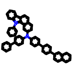 c1ccc(-c2ccc(N(c3ccc(-c4ccc(-c5ccc6ccccc6c5)cc4)cc3)c3ccc4ccc5c6ccccc6n(-c6ccccc6)c5c4c3)cc2)cc1